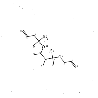 C=CCOC(C)(CC)C(C)C(C)OC(C)(CC)CC=C